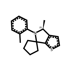 Cc1ccccc1N1[C@@H](C)c2ccsc2C12CCCC2